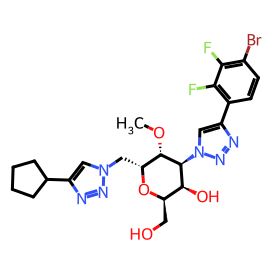 CO[C@@H]1[C@@H](n2cc(-c3ccc(Br)c(F)c3F)nn2)[C@@H](O)[C@@H](CO)O[C@@H]1Cn1cc(C2CCCC2)nn1